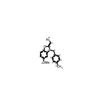 COc1ccc2c(c1)N(Cc1ccc(C)cc1)/C(=C/C(C)=O)O2